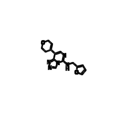 C1=C(c2cnc(NCc3ccco3)n3cnnc23)CCOC1